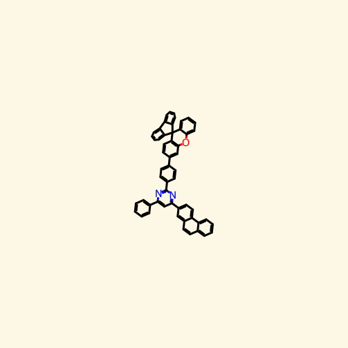 c1ccc(-c2cc(-c3ccc4c(ccc5ccccc54)c3)nc(-c3ccc(-c4ccc5c(c4)Oc4ccccc4C54c5ccccc5-c5ccccc54)cc3)n2)cc1